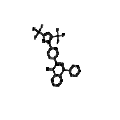 O=C(Nc1ccc(-n2nc(C(F)(F)F)cc2C(F)(F)F)cc1)c1ccccc1C(=O)c1ccccc1